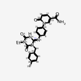 CCn1c(=O)[nH]/c(=N\c2ccc(-n3cc(C(N)=O)ccc3=O)cc2)n(Cc2ccc(F)cc2)c1=O